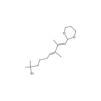 CCC(C)(C)CCC/C=C(C)/C(C)=C/C1OCCCO1